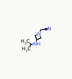 CC(C)NC1CN(CC#N)C1